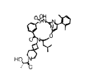 Cc1cccc(C)c1-c1cc2nc(n1)NS(=O)(=O)c1cccc(c1)C(=O)N(C1CC3(CCN(C(=O)[C@H](C)O)CC3)C1)C(CC(C)C)CO2